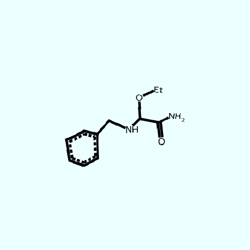 CCOC(NCc1ccccc1)C(N)=O